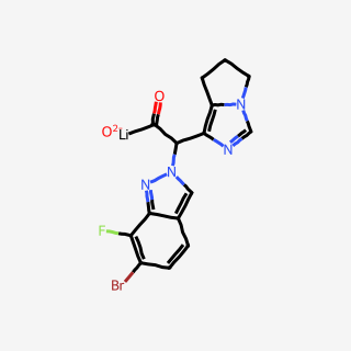 [Li][C](=O)C(c1ncn2c1CCC2)n1cc2ccc(Br)c(F)c2n1.[O-2]